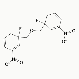 O=[N+]([O-])C1=CC(F)(COCC2(F)C=C([N+](=O)[O-])C=CC2)CC=C1